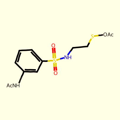 CC(=O)Nc1cccc(S(=O)(=O)NCCSOC(C)=O)c1